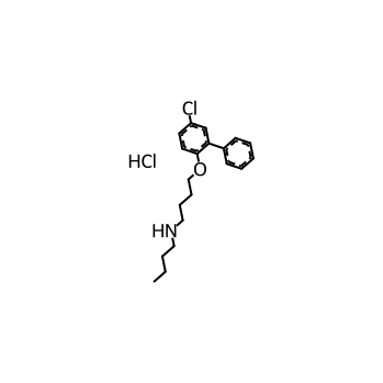 CCCCNCCCCOc1ccc(Cl)cc1-c1ccccc1.Cl